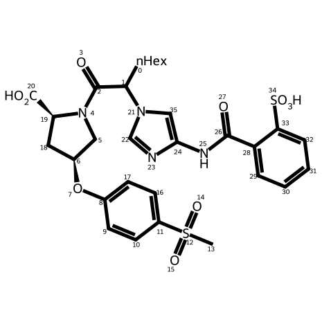 CCCCCCC(C(=O)N1C[C@@H](Oc2ccc(S(C)(=O)=O)cc2)C[C@H]1C(=O)O)n1cnc(NC(=O)c2ccccc2S(=O)(=O)O)c1